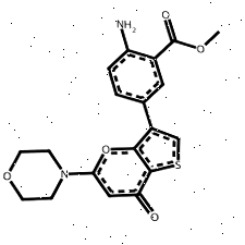 COC(=O)c1cc(-c2csc3c(=O)cc(N4CCOCC4)oc23)ccc1N